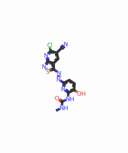 CNC(=O)Nc1nc(/N=N/c2snc3nc(Cl)c(C#N)cc23)ccc1O